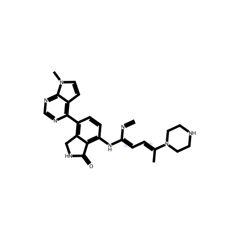 C=N/C(=C\C=C(/C)N1CCNCC1)Nc1ccc(-c2ncnc3c2ccn3C)c2c1C(=O)NC2